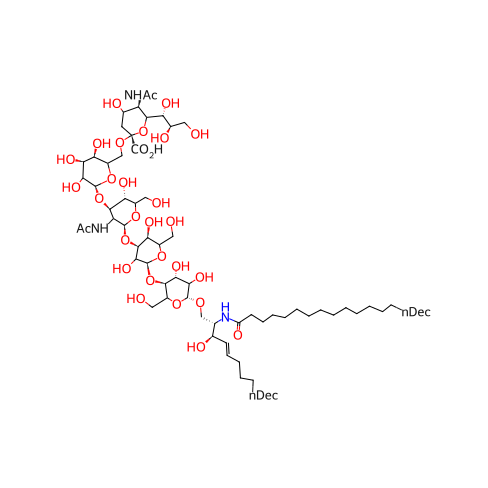 CCCCCCCCCCCCC/C=C/[C@@H](O)[C@H](CO[C@@H]1OC(CO)[C@@H](O[C@@H]2OC(CO)[C@H](O)[C@H](O[C@@H]3OC(CO)[C@@H](O)[C@H](O[C@@H]4OC(CO[C@]5(C(=O)O)CC(O)[C@@H](NC(C)=O)C([C@H](O)[C@H](O)CO)O5)[C@H](O)[C@H](O)C4O)C3NC(C)=O)C2O)[C@H](O)C1O)NC(=O)CCCCCCCCCCCCCCCCCCCCCCC